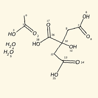 CC(=O)O.O.O.O=C(O)CC(O)(CC(=O)O)C(=O)O